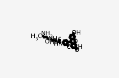 CC(N)CCC(=O)NCCNC(=S)Nc1ccc(-c2c3ccc(=O)cc-3oc3cc(O)ccc23)c(C(=O)O)c1